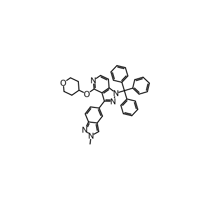 Cn1cc2cc(-c3nn(C(c4ccccc4)(c4ccccc4)c4ccccc4)c4ccnc(OC5CCOCC5)c34)ccc2n1